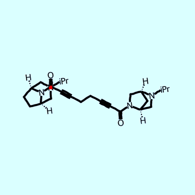 CC(C)N1C[C@H]2CC[C@@H](C1)N2C(=O)C#CCCC#CC(=O)N1C[C@@H]2C[C@H]1CN2C(C)C